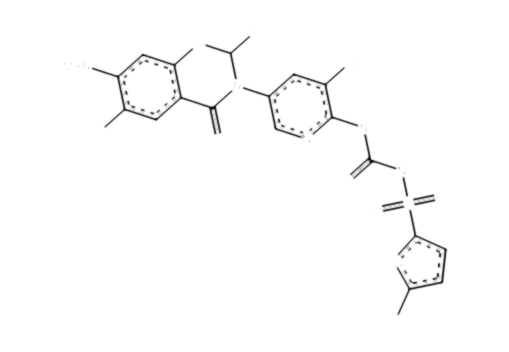 CNc1cc2c(cc1F)C(=O)N(c1cnc(NC(=O)NS(=O)(=O)c3ccc(Cl)s3)c(C)c1)C(C)O2